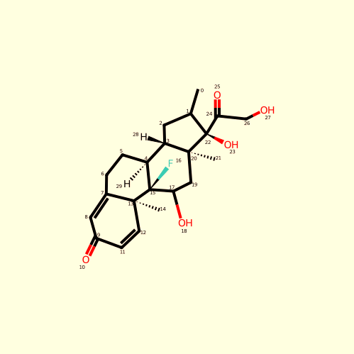 CC1C[C@H]2[C@@H]3CCC4=CC(=O)C=C[C@]4(C)[C@@]3(F)C(O)C[C@]2(C)[C@@]1(O)C(=O)CO